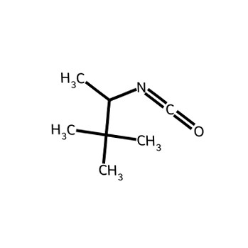 CC(N=C=O)C(C)(C)C